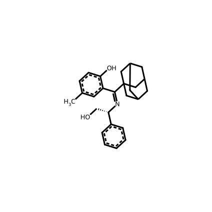 Cc1ccc(O)c(C(=N[C@@H](CO)c2ccccc2)C23CC4CC(CC(C4)C2)C3)c1